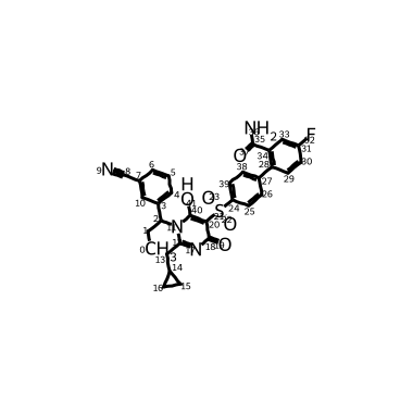 CCC(c1cccc(C#N)c1)n1c(CC2CC2)nc(=O)c(S(=O)(=O)c2ccc(-c3ccc(F)cc3C(N)=O)cc2)c1O